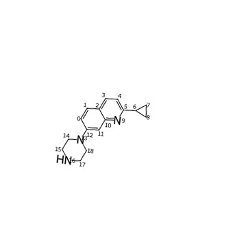 c1cc2ccc(C3CC3)nc2cc1N1CCNCC1